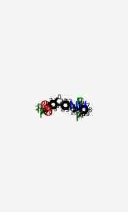 Cc1cc2c(cc1-c1ccc(NC(C)c3c(F)cccc3F)cc1)OC(F)(F)O2